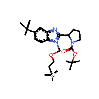 CC(C)(C)OC(=O)N1CCCC1c1nc2cc(C(C)(C)C)ccc2n1COCC[Si](C)(C)C